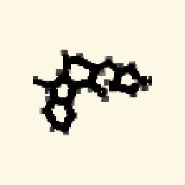 Cn1c2ccccc2c2c(=O)c(Cc3c[nH]cn3)csc21